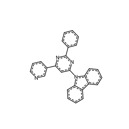 c1ccc(-c2nc(-c3cccnc3)cc(-n3c4ccccc4c4ccccc43)n2)cc1